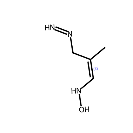 C/C(=C/NO)CN=N